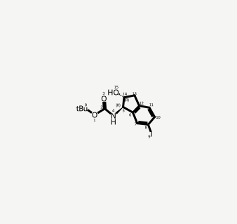 CC(C)(C)OC(=O)N[C@@H]1c2cc(I)ccc2C[C@H]1O